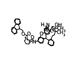 CC(C)(CCc1ccccc1C1c2ccc(N)cc2Oc2cc(NC(=O)[C@@H]3CCCN3C(=O)OCC3c4ccccc4-c4ccccc43)ccc21)[Si](C)(C)O